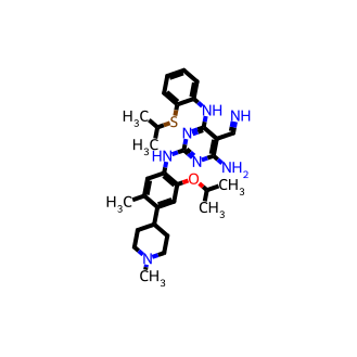 Cc1cc(Nc2nc(N)c(C=N)c(Nc3ccccc3SC(C)C)n2)c(OC(C)C)cc1C1CCN(C)CC1